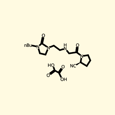 CCCCN1CCN(CCNCC(=O)N2CCC[C@H]2C#N)C1=O.O=C(O)C(=O)O